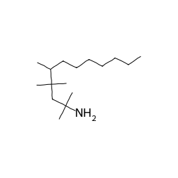 CCCCCCCC(C)C(C)(C)CC(C)(C)N